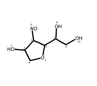 O=NC1C(O)COC1C(O)CO